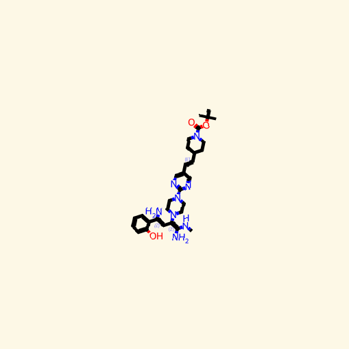 CN/C(N)=C(/C=C(\N)c1ccccc1O)N1CCN(c2ncc(/C=C/C3CCN(C(=O)OC(C)(C)C)CC3)cn2)CC1